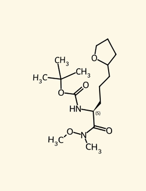 CON(C)C(=O)[C@H](CCCC1CCCO1)NC(=O)OC(C)(C)C